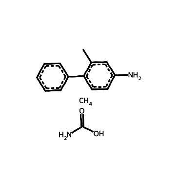 C.Cc1cc(N)ccc1-c1ccccc1.NC(=O)O